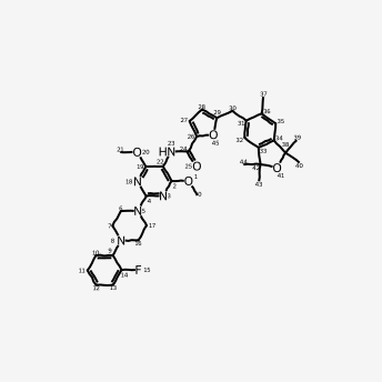 COc1nc(N2CCN(c3ccccc3F)CC2)nc(OC)c1NC(=O)c1ccc(Cc2cc3c(cc2C)C(C)(C)OC3(C)C)o1